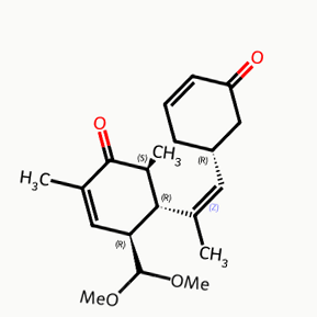 COC(OC)[C@H]1C=C(C)C(=O)[C@@H](C)[C@@H]1/C(C)=C\[C@@H]1CC=CC(=O)C1